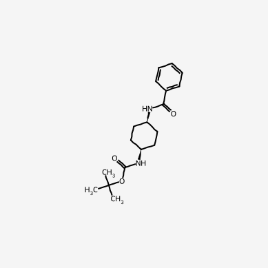 CC(C)(C)OC(=O)N[C@H]1CC[C@@H](NC(=O)c2ccccc2)CC1